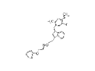 CSc1cc(C)c(/C=C2/C=C(CCON=CCOc3ccccc3)c3ccccc32)cc1F